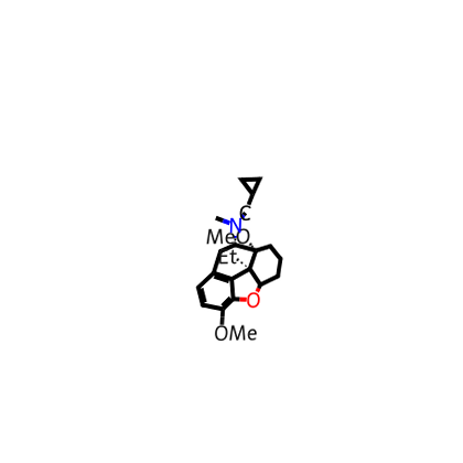 CC[C@@]12c3c4ccc(OC)c3OC1CCC[C@]2(OC)[C@@H](N(C)CC1CC1)C4